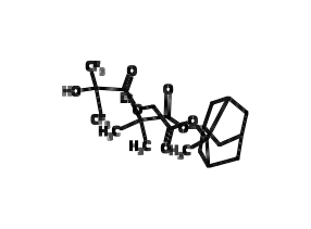 CCC(C)(C)C(=O)OC12CC3CC(C1)C(C)(OC(=O)COC(=O)C(O)(C(F)(F)F)C(F)(F)F)C(C3)C2